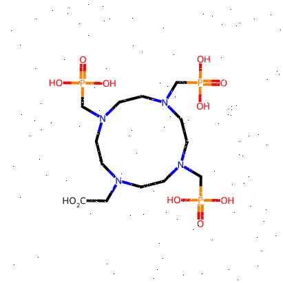 O=C(O)CN1CCN(CP(=O)(O)O)CCN(CP(=O)(O)O)CCN(CP(=O)(O)O)CC1